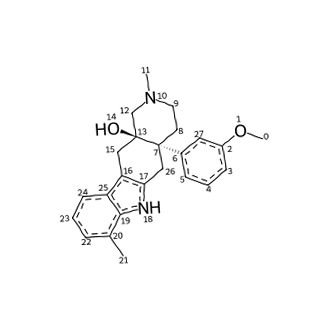 COc1cccc([C@@]23CCN(C)C[C@@]2(O)Cc2c([nH]c4c(C)cccc24)C3)c1